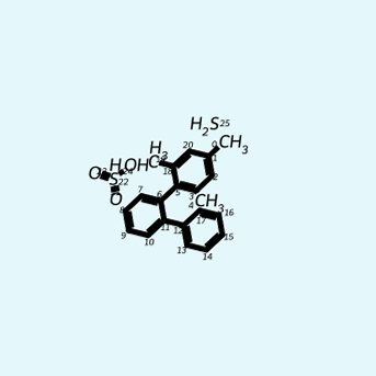 Cc1cc(C)c(-c2ccccc2-c2ccccc2)c(C)c1.O=[SH](=O)O.S